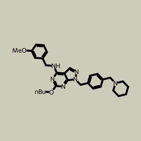 CCCCOc1nc(NCc2cccc(OC)c2)c2cnn(Cc3ccc(CN4CCCCC4)cc3)c2n1